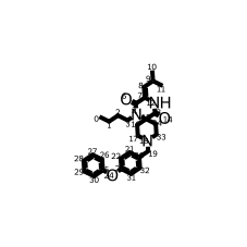 CCCCN1C(=O)C(=CC(C)C)NC(=O)C12CCN(Cc1ccc(Oc3ccccc3)cc1)CC2